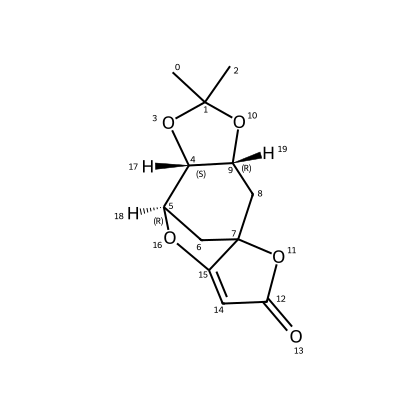 CC1(C)O[C@H]2[C@H]3CC4(C[C@H]2O1)OC(=O)C=C4O3